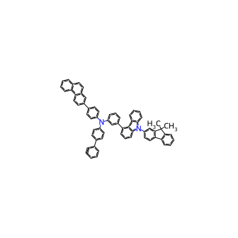 CC1(C)c2ccccc2-c2ccc(-n3c4ccccc4c4c(-c5cccc(N(c6ccc(-c7c#cccc7)cc6)c6ccc(-c7ccc8c(ccc9ccccc98)c7)cc6)c5)cccc43)cc21